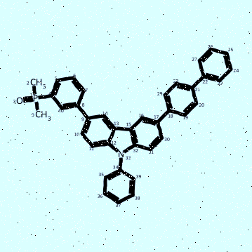 CP(C)(=O)c1cccc(-c2ccc3c(c2)c2cc(-c4ccc(-c5ccccc5)cc4)ccc2n3-c2ccccc2)c1